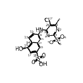 Cc1nc(S(C)(=O)=O)nc(Nc2ccc3c(O)cc(S(=O)(=O)O)cc3c2)c1Cl